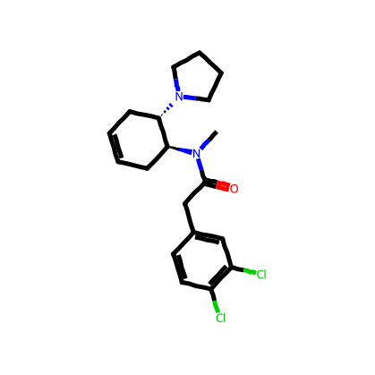 CN(C(=O)Cc1ccc(Cl)c(Cl)c1)[C@H]1CC=CC[C@@H]1N1CCCC1